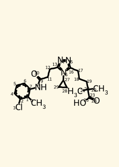 Cc1c(Cl)cccc1NC(=O)CCc1nnc(CCCC(C)(C)C(=O)O)n1C1CC1